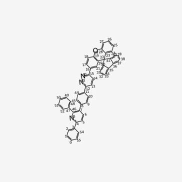 c1ccc(-c2ccc(-c3ccc(-c4ccc(-c5ccc6c(c5)C5(c7ccccc7O6)c6ccccc6-c6ccccc65)nn4)cc3)c(-c3ccccc3)n2)cc1